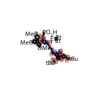 CCN(CC)CC.COc1ccc(C(OCC2(COC(=O)CCC(=O)O)CCN(C(=O)CCCCCNC(=O)c3ccc4c(c3)C(=O)OC43c4ccc(OC(=O)C(C)(C)C)cc4Oc4cc(OC(=O)C(C)(C)C)ccc43)CC2)(c2ccc(OC)cc2)c2ccc(OC)cc2)cc1